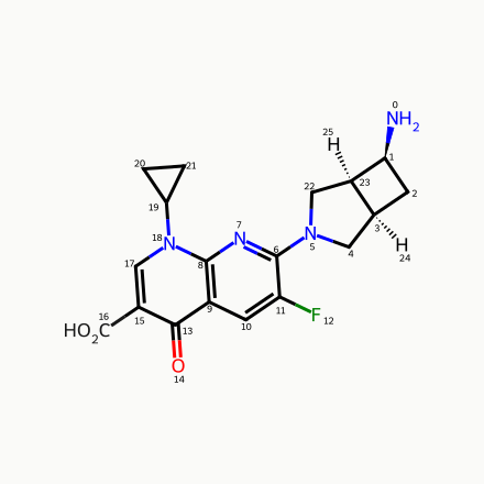 N[C@H]1C[C@H]2CN(c3nc4c(cc3F)c(=O)c(C(=O)O)cn4C3CC3)C[C@H]21